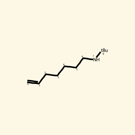 C=CCCCCCNC(C)(C)C